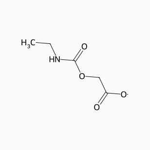 CCNC(=O)OCC([O])=O